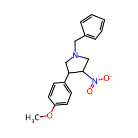 COc1ccc(C2CN(Cc3ccccc3)CC2[N+](=O)[O-])cc1